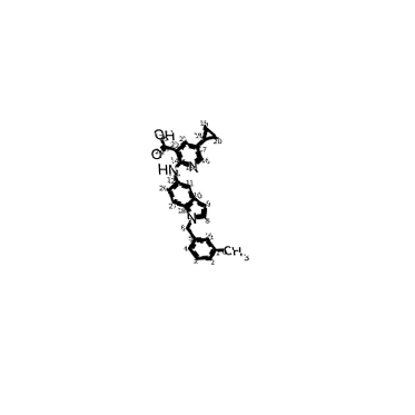 Cc1cccc(Cn2ccc3cc(Nc4ncc(C5CC5)cc4C(=O)O)ccc32)c1